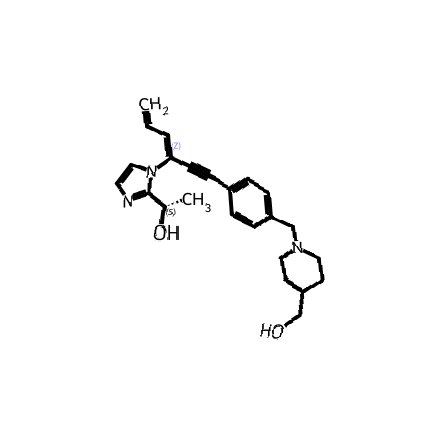 C=C/C=C(/C#Cc1ccc(CN2CCC(CO)CC2)cc1)n1ccnc1[C@H](C)O